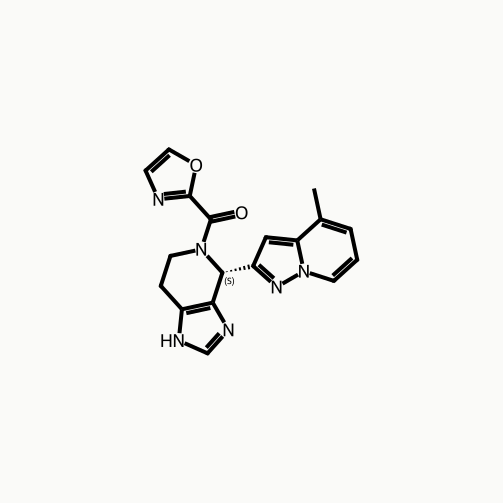 Cc1cccn2nc([C@@H]3c4nc[nH]c4CCN3C(=O)c3ncco3)cc12